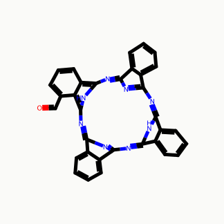 O=Cc1cccc2c3nc4nc(nc5[nH]c(nc6nc(nc([nH]3)c12)-c1ccccc1-6)c1ccccc51)-c1ccccc1-4